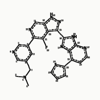 CN(C)Cc1cncc(-c2ncc3[nH]nc(-c4nc5c(-c6cccs6)ccnc5[nH]4)c3c2F)c1